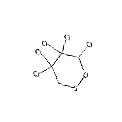 ClC1OSCC(Cl)(Cl)C1(Cl)Cl